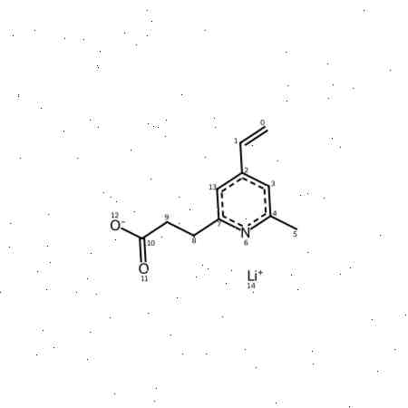 C=Cc1cc(C)nc(CCC(=O)[O-])c1.[Li+]